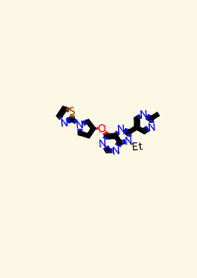 CCn1c(-c2cnc(C)nc2)nc2c(O[C@H]3CCN(c4nccs4)C3)ncnc21